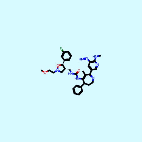 CNc1ncc(C2=NCCC(c3ccccc3)C(NC(=O)NC[C@@H]3CN(CCOC)O[C@H]3c3cccc(F)c3)=C2C)cc1N=N